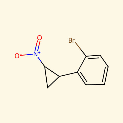 O=[N+]([O-])C1CC1c1ccccc1Br